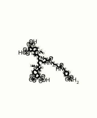 CCN1/C(=C/C=C(/C=C/C2=[N+](CC)c3ccc4c(S(=O)(=O)[O-])cc(S(=O)(=O)O)cc4c3C2(C)C)c2ccc(C(=O)NCCCCC(=O)NCc3ccc(S(N)(=O)=O)cc3)cn2)C(C)(C)c2c1ccc1c(S(=O)(=O)O)cc(S(=O)(=O)O)cc21